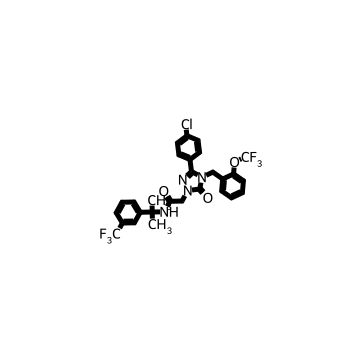 CC(C)(NC(=O)Cn1nc(-c2ccc(Cl)cc2)n(Cc2ccccc2OC(F)(F)F)c1=O)c1cccc(C(F)(F)F)c1